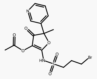 CC(=O)OC1=C(NS(=O)(=O)CCCBr)OC(C)(c2cccnc2)C1=O